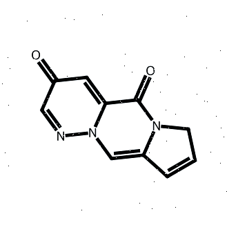 O=c1cnn2cc3n(c(=O)c2c1)CC=C3